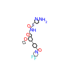 Nc1ccc(/C=C/C(=O)NCc2cc3cc(-c4ccc(C(=O)N5CCC(F)(F)CC5)cc4)cc(OC4CCC4)c3o2)cn1